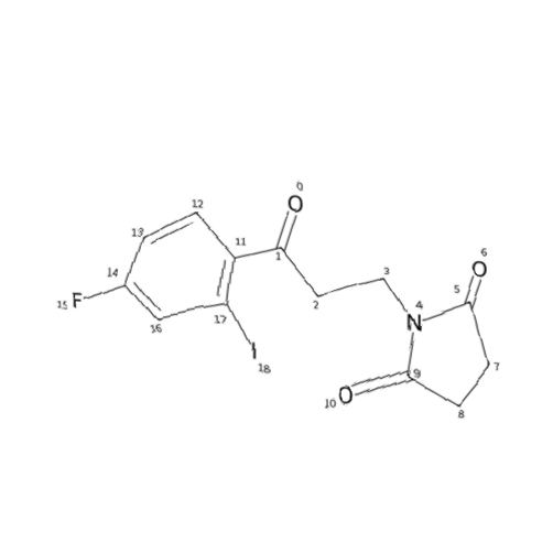 O=C(CCN1C(=O)CCC1=O)c1ccc(F)cc1I